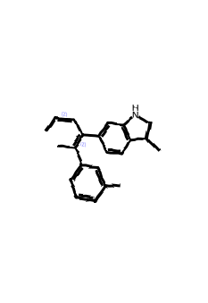 C/C=C\C(=C(/C)c1cccc(C)c1)c1ccc2c(c1)NCC2C